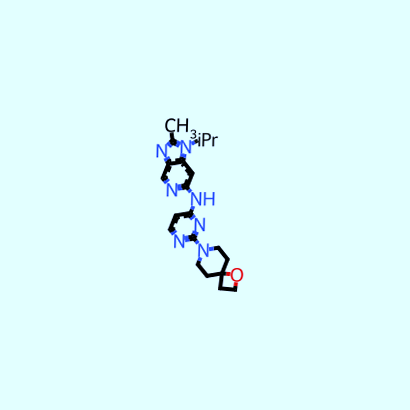 Cc1nc2cnc(Nc3ccnc(N4CCC5(CCO5)CC4)n3)cc2n1C(C)C